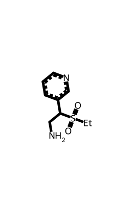 CCS(=O)(=O)C(CN)c1cccnc1